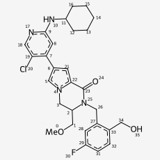 COCC1Cn2cc(-c3cc(NC4CCCCC4)ncc3Cl)cc2C(=O)N1Cc1cc(F)ccc1CO